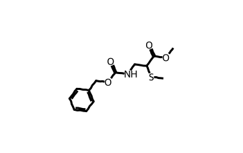 COC(=O)C(CNC(=O)OCc1ccccc1)SC